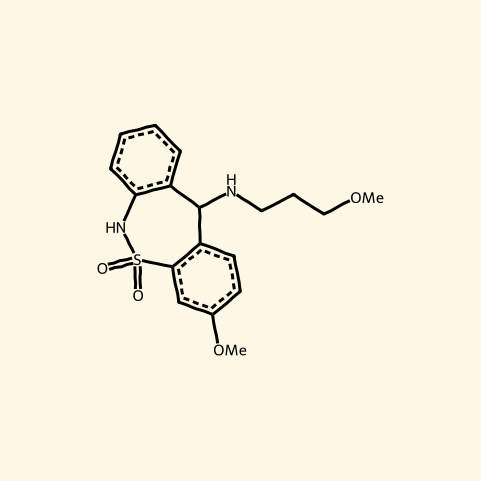 COCCCNC1c2ccccc2NS(=O)(=O)c2cc(OC)ccc21